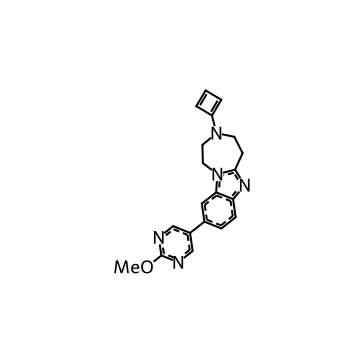 COc1ncc(-c2ccc3nc4n(c3c2)CCN(C2=CC=C2)CC4)cn1